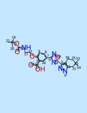 Cn1nc(-c2nc(-c3ccc(OCCNC(=O)OC(C)(C)C)c(C(=O)O)c3)no2)c2c1CC(C)(C)CC2